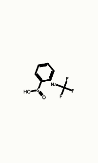 F[C](F)(F)[Na].O=S(O)c1ccccc1